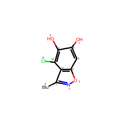 CC(C)(C)c1noc2cc(O)c(O)c(Cl)c12